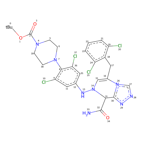 CC(C)(C)OC(=O)N1CCN(c2c(Cl)cc(NN3C=C(Cc4c(Cl)cccc4Cl)n4cnnc4C3C(N)=O)cc2Cl)CC1